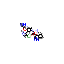 Cn1ncc(Cl)c1-c1cc(NC(=O)Oc2cnnc3ccccc23)ccc1OCCN